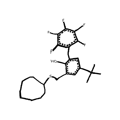 CC(C)(C)c1cc(CSC2CCCCCCC2)c(O)c(-c2c(F)c(F)c(F)c(F)c2F)c1